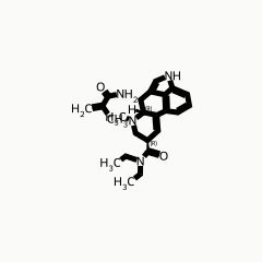 C=C(C)C(N)=O.CCN(CC)C(=O)[C@@H]1C=C2c3cccc4[nH]cc(c34)C[C@H]2N(C)C1